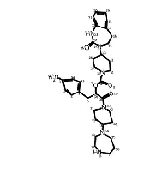 Nc1ccc(C[C@@H](OC(=O)N2CCC(N3CCc4ccccc4NC3=O)CC2)C(=O)N2CCC(N3CCCNCC3)CC2)cc1